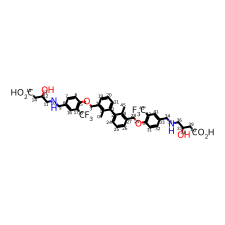 Cc1c(COc2ccc(CNCC(O)CC(=O)O)cc2C(F)(F)F)cccc1-c1cccc(COc2ccc(CNCC(O)CC(=O)O)cc2C(F)(F)F)c1C